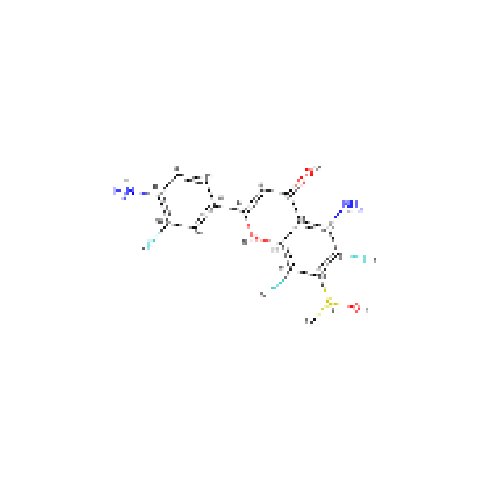 C[S+]([O-])c1c(F)c(N)c2c(=O)cc(-c3ccc(N)c(F)c3)oc2c1F